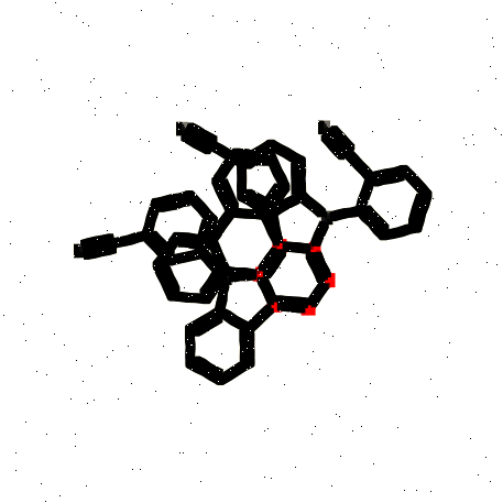 N#Cc1cccc(-n2c3ccccc3c3cccc(-c4ccccc4-c4ccccc4-c4cccc5c4c4cc(C#N)ccc4n5-c4ccccc4C#N)c32)c1